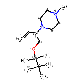 C=C[SiH](CO[Si](C)(C)C(C)(C)C)N1CCN(C)CC1